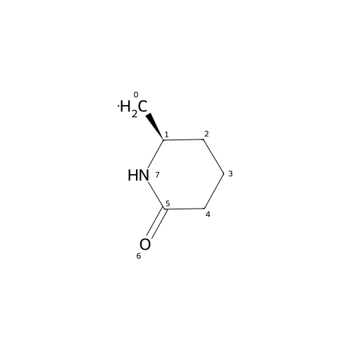 [CH2][C@H]1CCCC(=O)N1